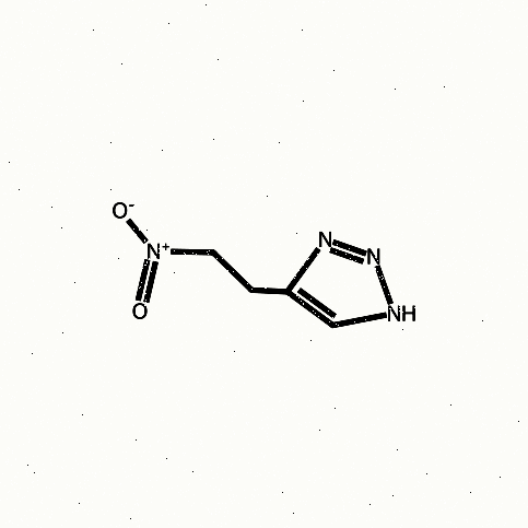 O=[N+]([O-])CCc1c[nH]nn1